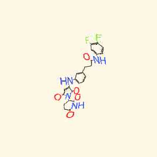 O=C1CCC(N2C(=O)C=C(Nc3cccc(CCC(=O)Nc4ccc(F)c(F)c4)c3)C2=O)C(=O)N1